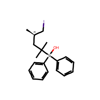 C[C@@H](CI)CC(C)(C)[Si](O)(c1ccccc1)c1ccccc1